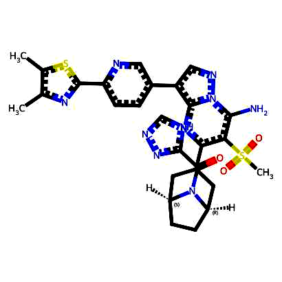 Cc1nc(-c2ccc(-c3cnn4c(N)c(S(C)(=O)=O)c(C5C[C@H]6CC[C@@H](C5)N6C(=O)c5nnc[nH]5)nc34)cn2)sc1C